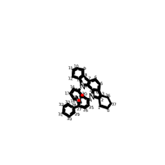 C1=Cc2c(c3ccc4c5ccccc5n(-c5cccnc5)c4c3n2-c2ccc(-c3ccccc3)nc2)CC1